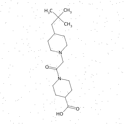 CC(C)(C)CC1CCN(CC(=O)N2CCC(C(=O)O)CC2)CC1